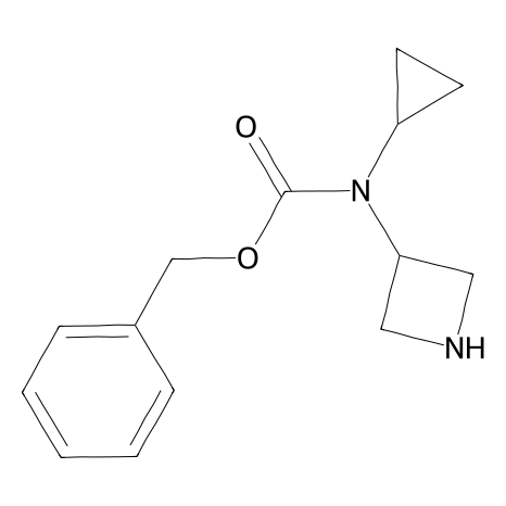 O=C(OCc1ccccc1)N(C1CC1)C1CNC1